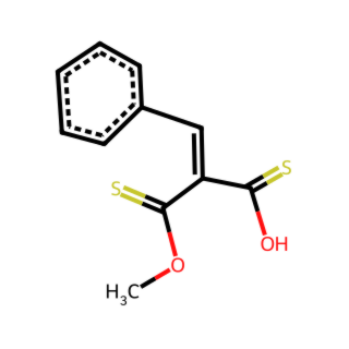 COC(=S)C(=Cc1ccccc1)C(O)=S